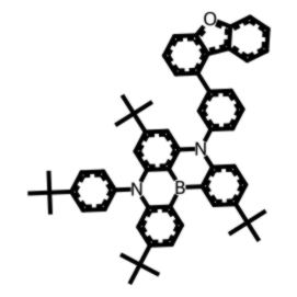 CC(C)(C)c1ccc(N2c3cc(C(C)(C)C)ccc3B3c4cc(C(C)(C)C)ccc4N(c4cccc(-c5cccc6oc7ccccc7c56)c4)c4cc(C(C)(C)C)cc2c43)cc1